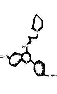 COc1ccc(-c2cc(NCCCN3CCCCC3)c3cc([N+](=O)[O-])ccc3n2)cc1